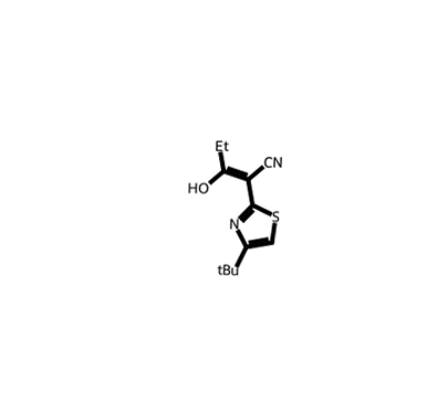 CCC(O)=C(C#N)c1nc(C(C)(C)C)cs1